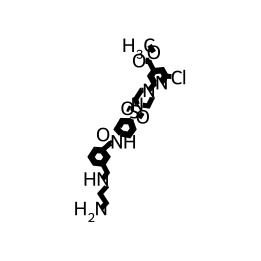 COC(=O)c1cc(Cl)nc(N2CCN(S(=O)(=O)c3ccc(NC(=O)c4cccc(CNCCCN)c4)cc3)CC2)c1